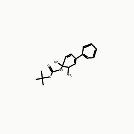 CC(C)(C)OC(=O)NC1(O)C=CC(c2ccccc2)=CC1N